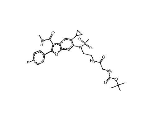 CNC(=O)c1c(-c2ccc(F)cc2)oc2cc(N(CCNC(=O)CNC(=O)OC(C)(C)C)S(C)(=O)=O)c(C3CC3)cc12